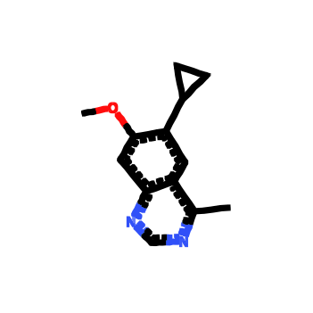 COc1cc2ncnc(C)c2cc1C1CC1